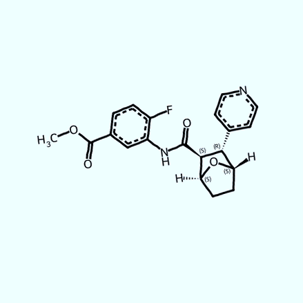 COC(=O)c1ccc(F)c(NC(=O)[C@H]2[C@H](c3ccncc3)[C@@H]3CC[C@@H]2O3)c1